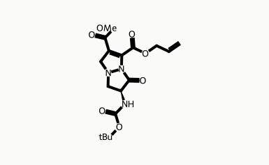 C=CCOC(=O)C1=C(C(=O)OC)CN2C[C@H](NC(=O)OC(C)(C)C)C(=O)N12